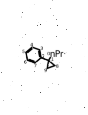 CC[CH]C1(c2ccccc2)CC1